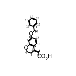 O=C(O)/C=C1\CCOc2cc(OCc3ccccc3)ccc21